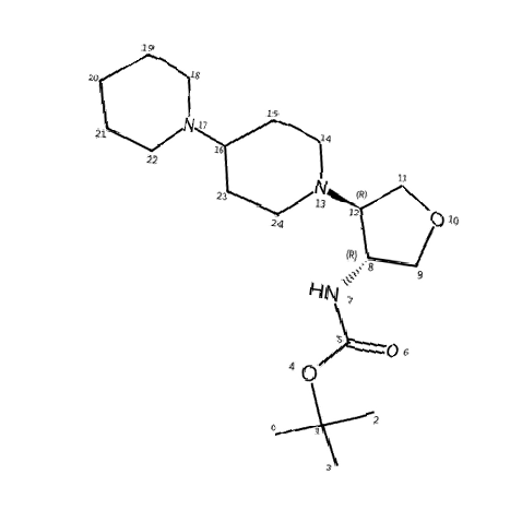 CC(C)(C)OC(=O)N[C@H]1COC[C@@H]1N1CCC(N2CCCCC2)CC1